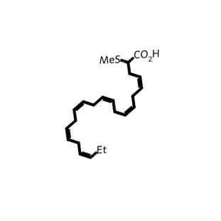 CC/C=C\C/C=C\C/C=C\C/C=C\C/C=C\C/C=C\CC(SC)C(=O)O